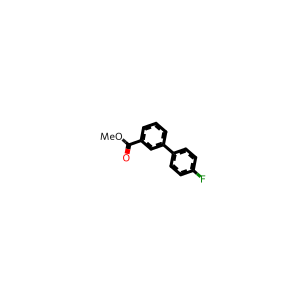 COC(=O)c1cccc(-c2ccc(F)cc2)c1